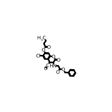 CCCC(=O)Oc1cc2c(cc1Cl)C(=C=O)C(NCC(=O)OCc1ccccc1)C(=O)O2